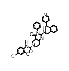 O=C(Nc1ccc(Cl)cc1Cl)N1CCc2nc(NCc3ccccc3Cc3ccncc3)n(-c3ccccc3)c(=O)c2C1